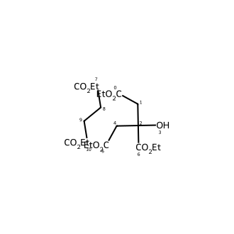 CCOC(=O)CC(O)(CC(=O)OCC)C(=O)OCC.CCOC(=O)CCC(=O)OCC